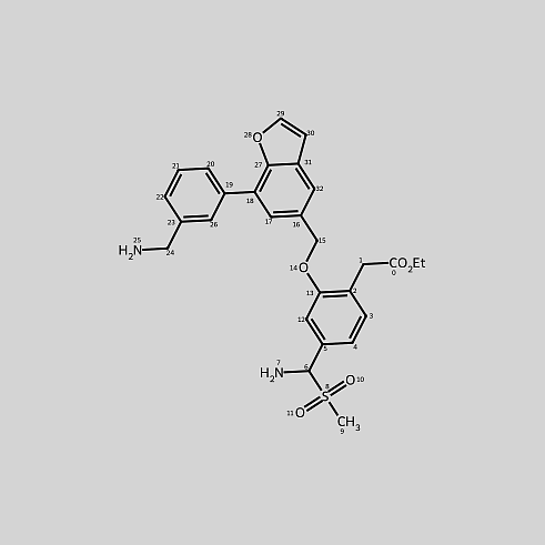 CCOC(=O)Cc1ccc(C(N)S(C)(=O)=O)cc1OCc1cc(-c2cccc(CN)c2)c2occc2c1